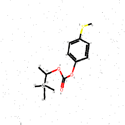 CSc1ccc(OC(=O)OC(C)[Si](C)(C)C)cc1